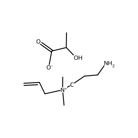 C=CC[N+](C)(C)CCCN.CC(O)C(=O)[O-]